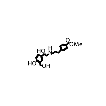 COC(=O)c1ccc(CCCNC[C@H](O)c2ccc(O)c(CO)c2)cc1